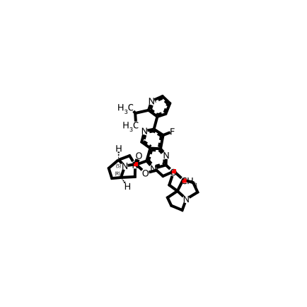 CCCCOC(=O)N1[C@@H]2CC[C@H]1CN(c1nc(OCC34CCCN3CCC4)nc3c(F)c(-c4cccnc4C(C)C)ncc13)C2